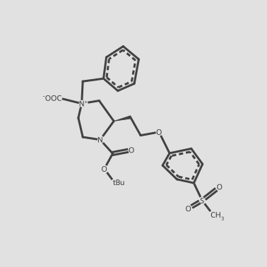 CC(C)(C)OC(=O)N1CC[N+](Cc2ccccc2)(C(=O)[O-])C[C@H]1CCOc1ccc(S(C)(=O)=O)cc1